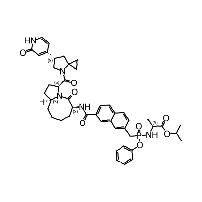 CC(C)OC(=O)[C@H](C)NP(=O)(Cc1ccc2ccc(C(=O)N[C@H]3CCCC[C@H]4CC[C@@H](C(=O)N5C[C@H](c6cc[nH]c(=O)c6)CC56CC6)N4C3=O)cc2c1)Oc1ccccc1